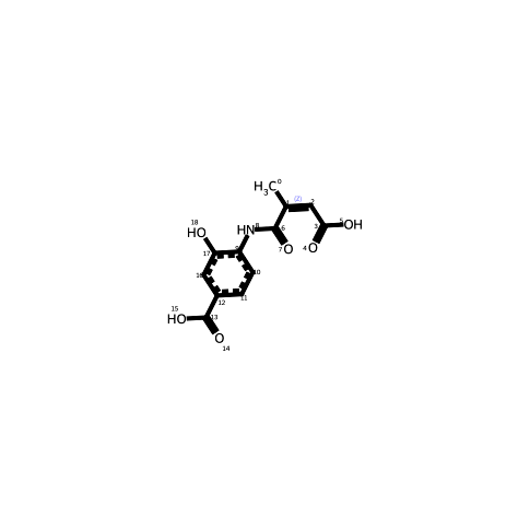 C/C(=C/C(=O)O)C(=O)Nc1ccc(C(=O)O)cc1O